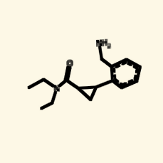 CCN(CC)C(=O)C1CC1c1ccccc1CN